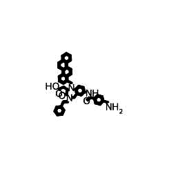 NCc1ccc(C(=O)Nc2ccc3c(c2)CN(C=Cc2ccccc2)C(=O)C(CC(=O)O)N3Cc2cccc3c2ccc2c4ccccc4ccc32)cc1